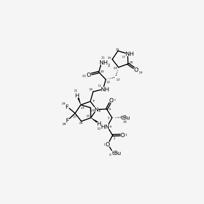 CC(C)(C)OC(=O)N[C@H](C(=O)N1C(CN[C@@H](C[C@@H]2CCNC2=O)C(N)=O)[C@@H]2C[C@H]1CC2(F)F)C(C)(C)C